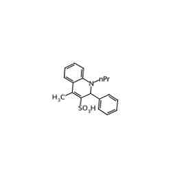 CCCN1c2ccccc2C(C)=C(S(=O)(=O)O)C1c1ccccc1